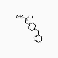 O=C[C@@H](O)CN1CCN(Cc2ccccc2)CC1